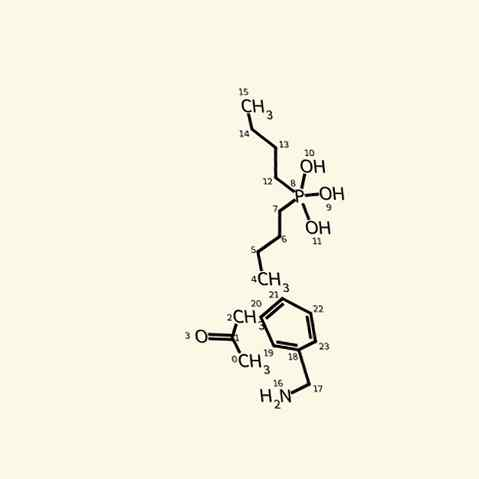 CC(C)=O.CCCCP(O)(O)(O)CCCC.NCc1ccccc1